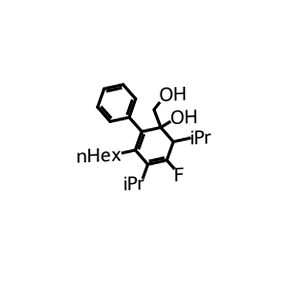 CCCCCCC1=C(c2ccccc2)C(O)(CO)C(C(C)C)C(F)=C1C(C)C